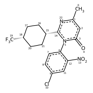 Cc1cc(=O)n(-c2ccc(Cl)cc2[N+](=O)[O-])c([C@H]2CC[C@@H](C(F)(F)F)CC2)n1